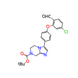 CC(C)(C)OC(=O)N1CCn2c(-c3ccc(Oc4cc(Cl)ccc4C=O)cc3)cnc2C1